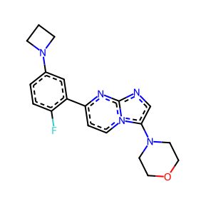 Fc1ccc(N2CCC2)cc1-c1ccn2c(N3CCOCC3)cnc2n1